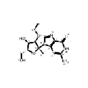 CSO[C@@H]1[C@H](O)[C@@H](CO)O[C@@]1(C)n1cnc2c(=O)[nH]c(N)nc21